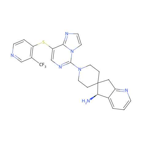 N[C@@H]1c2cccnc2CC12CCN(c1ncc(Sc3ccncc3C(F)(F)F)c3nccn13)CC2